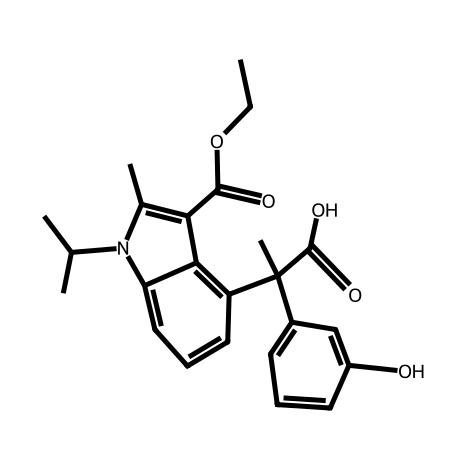 CCOC(=O)c1c(C)n(C(C)C)c2cccc(C(C)(C(=O)O)c3cccc(O)c3)c12